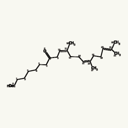 CCCCCCCCCCCCCCCCC(=O)CC=C(C)CCC=C(C)CCC=C(C)C